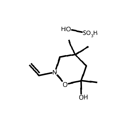 C=CN1CC(C)(C)CC(C)(O)O1.O=S(=O)(O)O